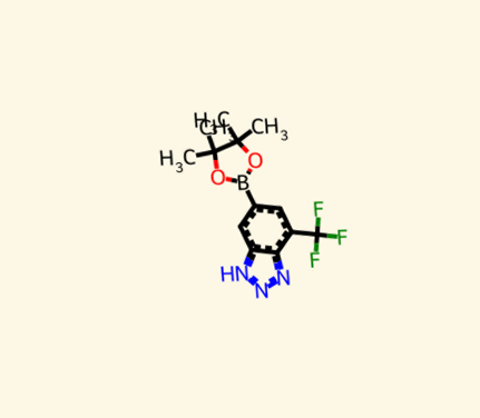 CC1(C)OB(c2cc(C(F)(F)F)c3nn[nH]c3c2)OC1(C)C